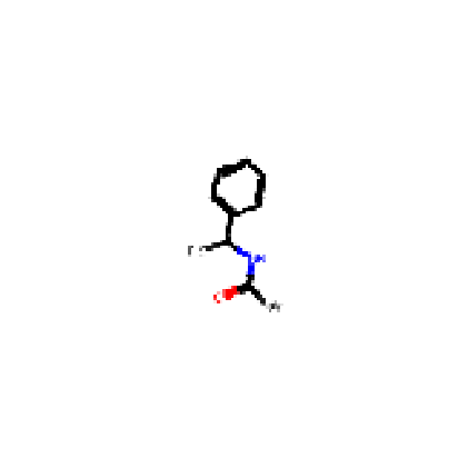 CCCC(=O)NC(c1ccccc1)C(F)(F)F